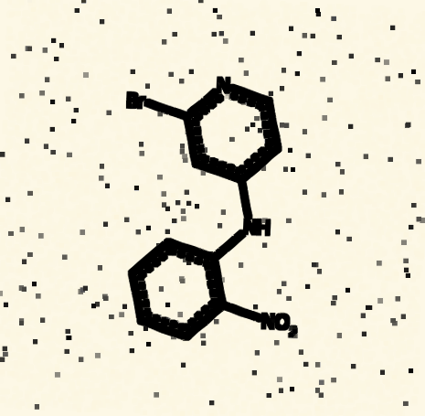 O=[N+]([O-])c1ccccc1Nc1ccnc(Br)c1